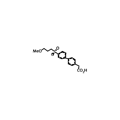 COCCCS(=O)(=O)c1ccc(-c2ccc(CC(=O)O)cc2)cc1